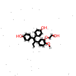 CCC(=C(c1ccc(O)cc1)c1ccc(O)cc1)c1ccc(OC)c(OCCO)c1